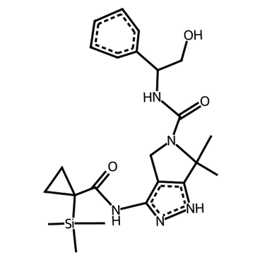 CC1(C)c2[nH]nc(NC(=O)C3([Si](C)(C)C)CC3)c2CN1C(=O)NC(CO)c1ccccc1